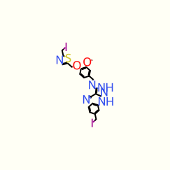 COc1cc(/C=N/c2[nH]nc(Nc3cccc(CI)c3)c2C#N)ccc1OCc1cnc(CI)s1